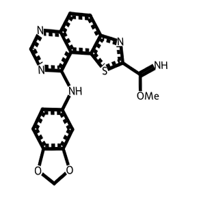 COC(=N)c1nc2ccc3ncnc(Nc4ccc5c(c4)OCO5)c3c2s1